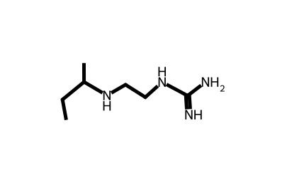 CCC(C)NCCNC(=N)N